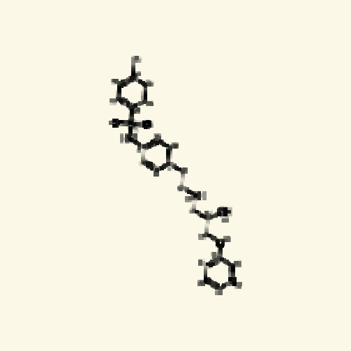 O=S(=O)(Nc1ccc(CCNCC(O)COc2cccnc2)cc1)c1ccc(I)cc1